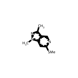 CSc1cc2c(cn1)c(C)nn2C